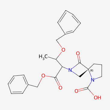 CC(OCc1ccccc1)C(C(=O)OCc1ccccc1)N1C[C@]2(CCCN2C(=O)O)C1=O